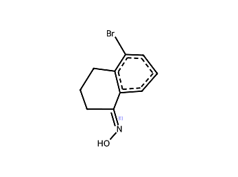 O/N=C1\CCCc2c(Br)cccc21